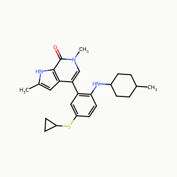 Cc1cc2c(-c3cc(SC4CC4)ccc3NC3CCC(C)CC3)cn(C)c(=O)c2[nH]1